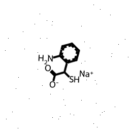 Nc1ccccc1C(S)C(=O)[O-].[Na+]